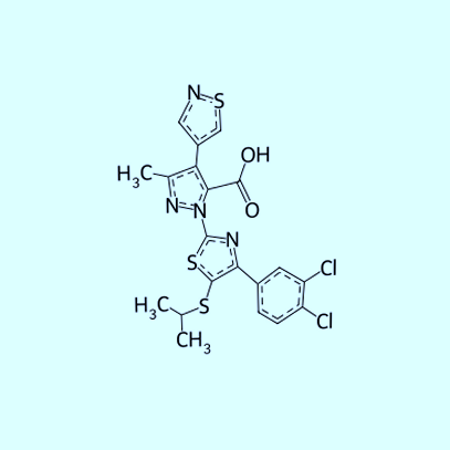 Cc1nn(-c2nc(-c3ccc(Cl)c(Cl)c3)c(SC(C)C)s2)c(C(=O)O)c1-c1cnsc1